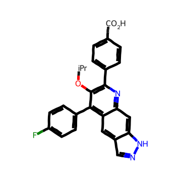 CC(C)Oc1c(-c2ccc(C(=O)O)cc2)nc2cc3[nH]ncc3cc2c1-c1ccc(F)cc1